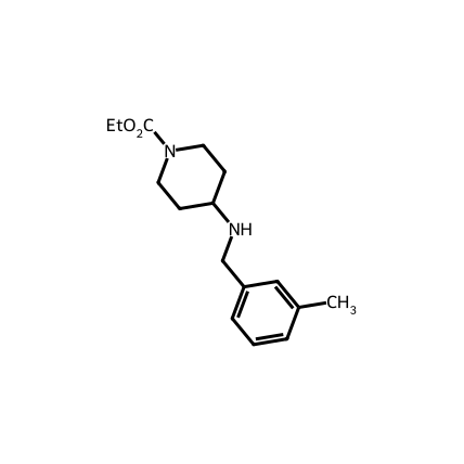 CCOC(=O)N1CCC(NCc2cccc(C)c2)CC1